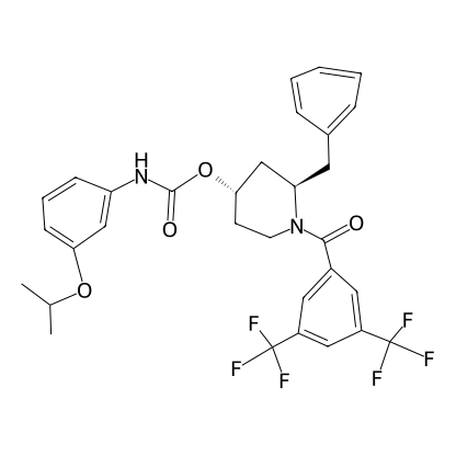 CC(C)Oc1cccc(NC(=O)O[C@H]2CCN(C(=O)c3cc(C(F)(F)F)cc(C(F)(F)F)c3)[C@H](Cc3ccccc3)C2)c1